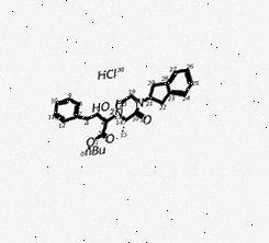 CCCCOC(=O)C(CCc1ccccc1)N[C@@H](C)C(=O)N(CC(=O)O)C1Cc2ccccc2C1.Cl